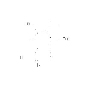 CN(C(c1ccnc(Br)c1)C(C)(C)C)[S+]([O-])C(C)(C)C